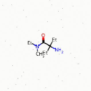 CCN(C)C(=O)C(N)(CC)CC